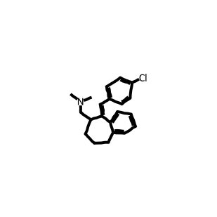 CN(C)CC1CCCc2ccccc2C1=Cc1ccc(Cl)cc1